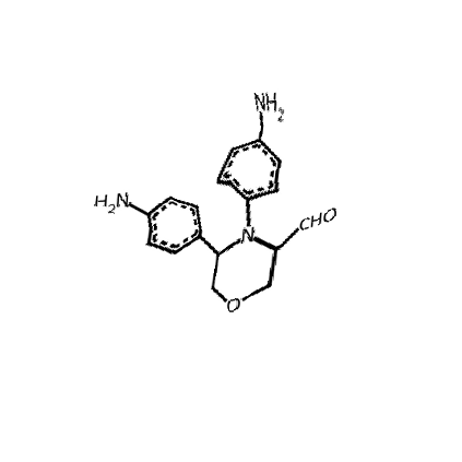 Nc1ccc(C2COCC(C=O)N2c2ccc(N)cc2)cc1